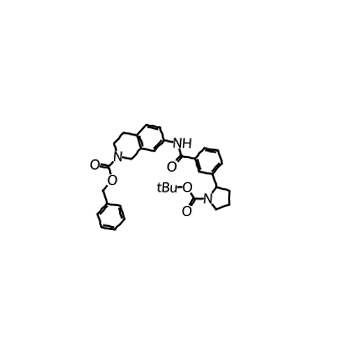 CC(C)(C)OC(=O)N1CCCC1c1cccc(C(=O)Nc2ccc3c(c2)CN(C(=O)OCc2ccccc2)CC3)c1